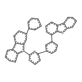 c1ccc(-c2ccc3c4ccccc4n(-c4nccc(-c5cccc(-c6cccc7c6sc6ccccc67)c5)n4)c3c2)cc1